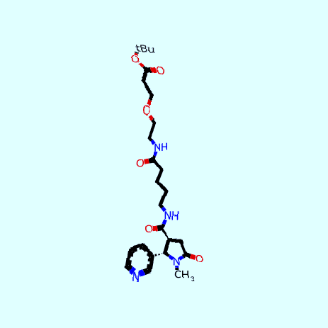 CN1C(=O)C[C@H](C(=O)NCCCCC(=O)NCCOCCC(=O)OC(C)(C)C)[C@H]1c1cccnc1